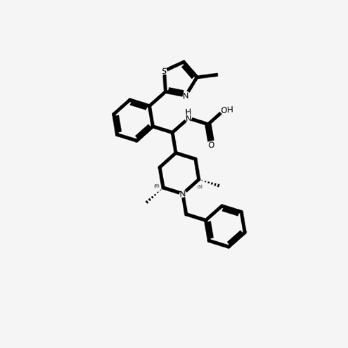 Cc1csc(-c2ccccc2C(NC(=O)O)C2C[C@@H](C)N(Cc3ccccc3)[C@@H](C)C2)n1